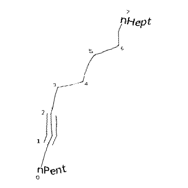 [CH2]CCCCC#CCCCCCCCCCCC